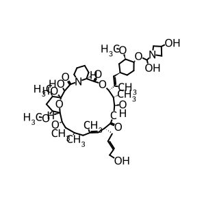 CO[C@H]1C[C@@H](C)C/C(C)=C/[C@@H](C/C=C/CO)C(=O)C[C@H](O)[C@@H](C)[C@@H](/C(C)=C/[C@@H]2CC[C@@H](OC(O)N3CC(O)C3)[C@H](OC)C2)OC(=O)[C@@H]2CCCCN2C(=O)C(O)[C@]2(O)O[C@H]1[C@@H](OC)C[C@H]2C